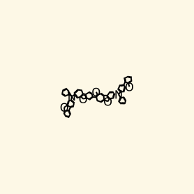 C1=CC(N(c2ccccc2)c2ccc3c(c2)oc2ccccc23)=Cc2oc3cc4c5c(oc4cc3c2C1)C=c1c(oc2cc(N(c3ccccc3)c3ccc4c(c3)oc3ccccc34)ccc12)=CC5